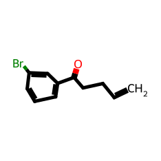 C=CCCC(=O)c1cccc(Br)c1